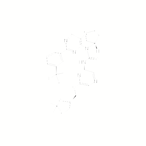 CC1(C)OC[C@H](COc2cncc(NC(=O)N3c4nc(-c5cccc(C(F)(F)F)c5)ncc4N4CC[C@H]3C4)n2)O1